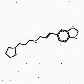 C(=C\c1ccc2c(c1)OCO2)/COCCCN1CCCC1